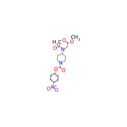 COC(=O)CN(C(C)=O)C1CCN(C(=O)Oc2ccc([N+](=O)[O-])cc2)CC1